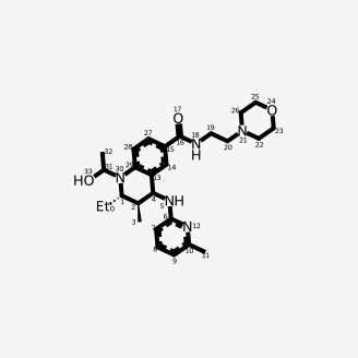 CC[C@H]1[C@H](C)C(Nc2cccc(C)n2)c2cc(C(=O)NCCN3CCOCC3)ccc2N1C(C)O